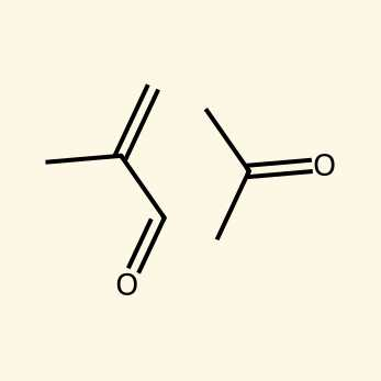 C=C(C)C=O.CC(C)=O